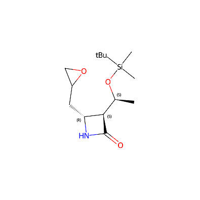 C[C@H](O[Si](C)(C)C(C)(C)C)[C@H]1C(=O)N[C@@H]1CC1CO1